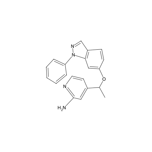 CC(Oc1ccc2cnn(-c3ccccc3)c2c1)c1ccnc(N)c1